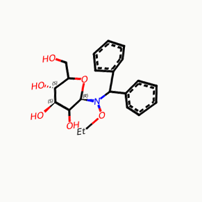 CCON(C(c1ccccc1)c1ccccc1)[C@@H]1OC(CO)[C@@H](O)[C@H](O)C1O